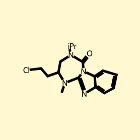 CC(C)N1CC(CCCl)N(C)c2nc3ccccc3n2C1=O